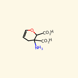 NC1(C(=O)O)CC=COC1C(=O)O